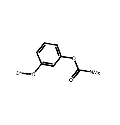 CCOc1cccc(OC(=O)NC)c1